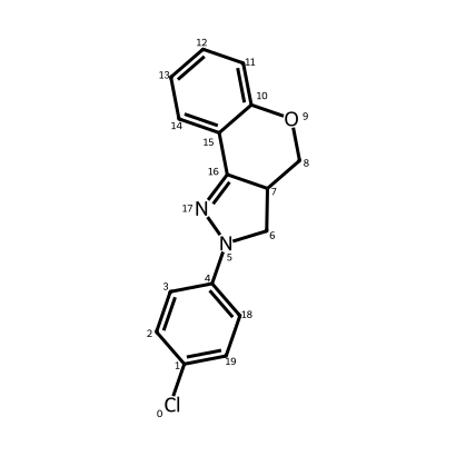 Clc1ccc(N2CC3COc4ccccc4C3=N2)cc1